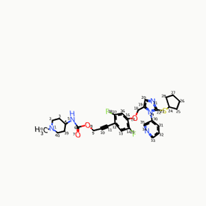 CN1CCC(NC(=O)OCC#Cc2cc(F)c(OCc3cnc(SC4CCCC4)n3-c3cccnc3)cc2F)CC1